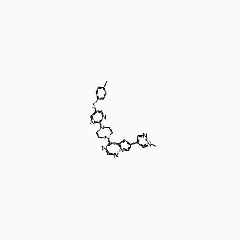 Cc1ccc(Sc2cnc(N3CCN(c4ncnn5cc(-c6cnn(C)c6)cc45)CC3)nc2)cc1